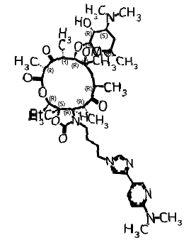 CC[C@H]1OC(=O)[C@H](C)C(=O)[C@H](C)[C@@H](O[C@@H]2O[C@H](C)C[C@H](N(C)C)[C@H]2O)[C@@](C)(OC)C[C@@H](C)C(=O)[C@H](C)[C@H]2N(CCCCn3cnc(-c4ccc(N(C)C)nc4)c3)C(=O)O[C@]12C